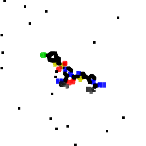 CNC(=O)C1CN(S(=O)(=O)c2cc3ccc(Cl)cc3s2)CCN1C(=O)c1ncc(C2CCN(C(C)=N)C2)s1